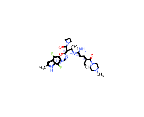 C=C/C(=C\C=C(/N)NC(=C)/C(C(=O)N1CCC1)=C(\N=C/N)Oc1cc(F)c2[nH]c(C)cc2c1F)C(=O)N1CCN(C)CC1